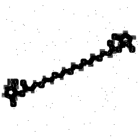 O=C(CCOCCOCCOCCOCCOCCC(=O)ON1C(=O)CCC1=O)OC1C(=O)CCC1O